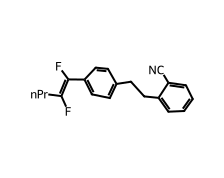 CCC/C(F)=C(\F)c1ccc(CCc2ccccc2C#N)cc1